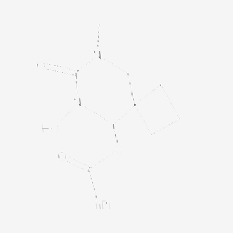 CCCC(=O)OC1N(O)C(=O)N(C)CC12CCC2